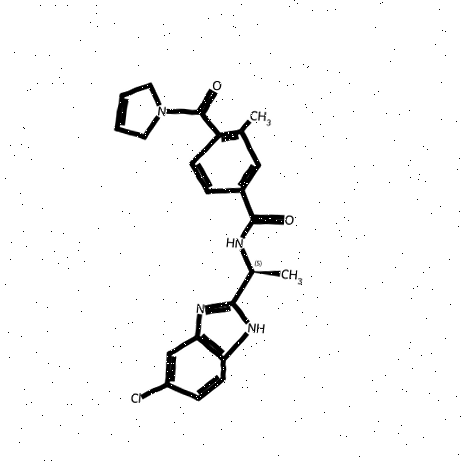 Cc1cc(C(=O)N[C@@H](C)c2nc3cc(Cl)ccc3[nH]2)ccc1C(=O)N1CC=CC1